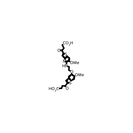 COc1cc2sc(C(=O)CCC(=O)O)cc2cc1OCCNc1nc2cc(C(=O)CCC(=O)O)sc2cc1OC